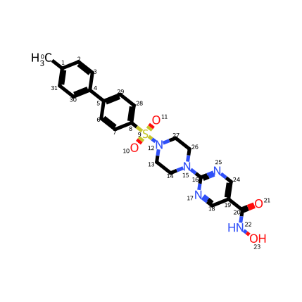 Cc1ccc(-c2ccc(S(=O)(=O)N3CCN(c4ncc(C(=O)NO)cn4)CC3)cc2)cc1